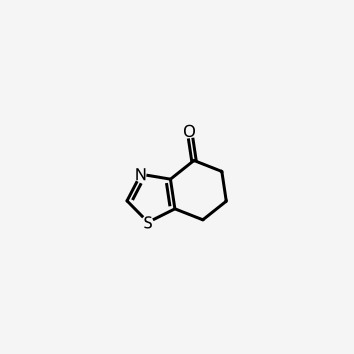 O=C1CCCc2scnc21